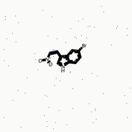 O=[N+]([O-])/C=C\c1c[nH]c2ccc(Br)cc12